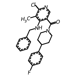 Cc1c(Cl)ncc(C(=O)N2CCC(c3ccc(F)cc3)CC2)c1NCc1ccccc1